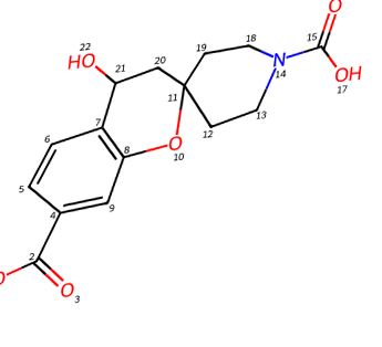 COC(=O)c1ccc2c(c1)OC1(CCN(C(=O)O)CC1)CC2O